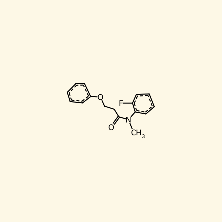 CN(C(=O)CCOc1ccccc1)c1ccccc1F